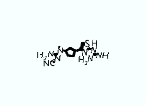 CN(C(N)=NC#N)C1CCC(c2csc(NC(=N)N)n2)C1